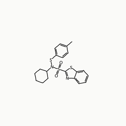 Cc1ccc(SN(C2CCCCC2)S(=O)(=O)c2nc3ccccc3s2)cc1